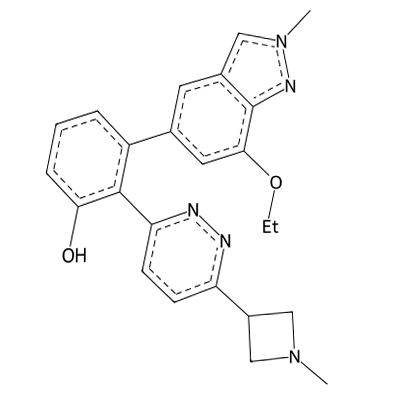 CCOc1cc(-c2cccc(O)c2-c2ccc(C3CN(C)C3)nn2)cc2cn(C)nc12